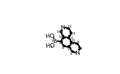 OB(O)c1cc2cnccc2c2ccncc12